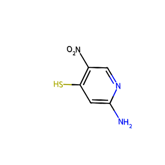 Nc1cc(S)c([N+](=O)[O-])cn1